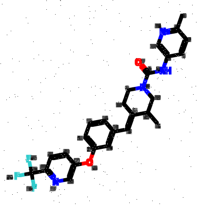 Cc1ccc(NC(=O)N2CCC(=Cc3cccc(Oc4ccc(C(F)(F)F)nc4)c3)C(C)C2)cn1